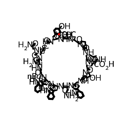 CCCC[C@H]1C(=O)N[C@@H](CN)C(=O)N[C@H](C(=O)NCC(N)=O)CSCC(=O)N[C@@H](Cc2ccc(O)cc2)C(=O)N(C)[C@@H](C)C(=O)N[C@@H](CC(=O)O)C(=O)N2CCC[C@H]2C(=O)N[C@@H](Cc2c[nH]cn2)C(=O)N[C@@H](CCC(=O)O)C(=O)N2C[C@H](O)C[C@H]2C(=O)N[C@@H](Cc2c[nH]c3ccccc23)C(=O)N[C@@H](CCN)C(=O)N[C@@H](Cc2c[nH]c3ccccc23)C(=O)N(C)[C@@H](Cc2c[nH]c3ccccc23)C(=O)N1C